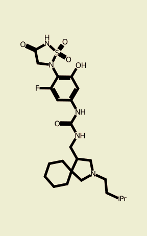 CC(C)CCN1CC(CNC(=O)Nc2cc(O)c(N3CC(=O)NS3(=O)=O)c(F)c2)C2(CCCCC2)C1